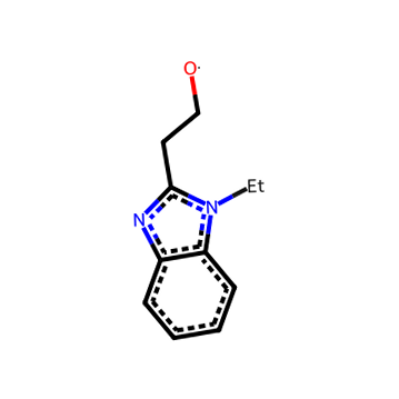 CCn1c(CC[O])nc2ccccc21